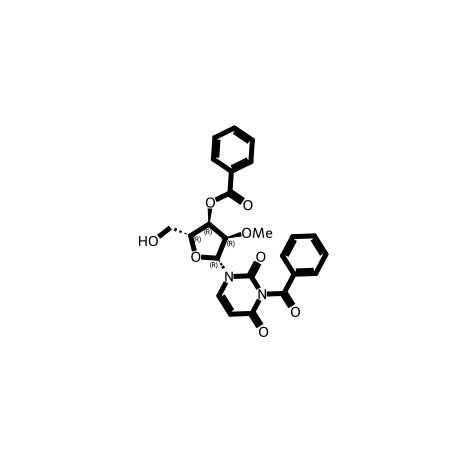 CO[C@@H]1[C@H](OC(=O)c2ccccc2)[C@@H](CO)O[C@H]1n1ccc(=O)n(C(=O)c2ccccc2)c1=O